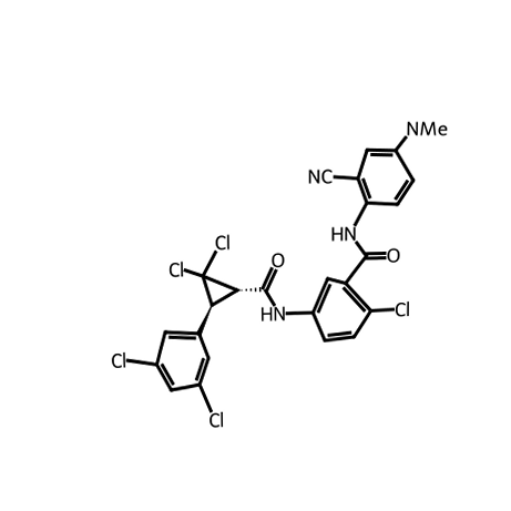 CNc1ccc(NC(=O)c2cc(NC(=O)[C@@H]3[C@@H](c4cc(Cl)cc(Cl)c4)C3(Cl)Cl)ccc2Cl)c(C#N)c1